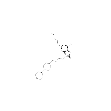 CCCCOc1nc(N)c2[nH]c(=O)n(CCCCC3CCN(C4CCCCC4)CC3)c2n1